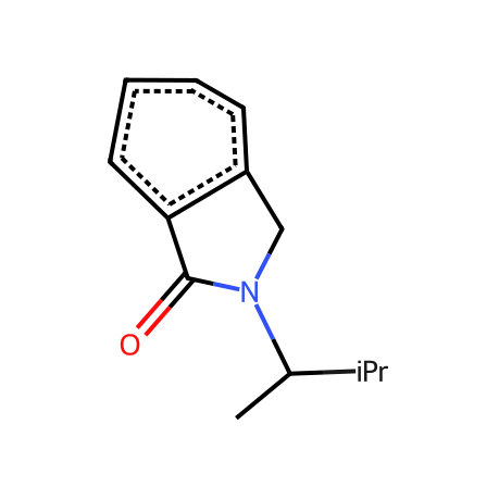 CC(C)C(C)N1Cc2ccccc2C1=O